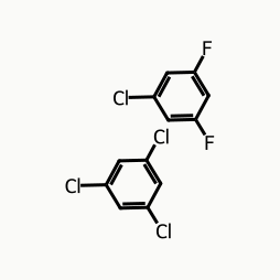 Clc1cc(Cl)cc(Cl)c1.Fc1cc(F)cc(Cl)c1